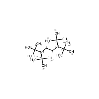 CC(C)(O)N(CCN(C(C)(C)O)C(C)(C)O)C(C)(C)O